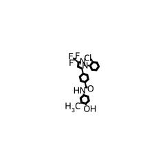 Cc1cc(NC(=O)c2ccc(-c3cc(C(F)(F)F)nn3-c3ccccc3Cl)cc2)ccc1O